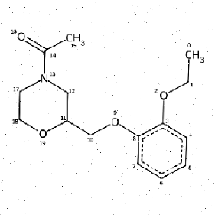 CCOc1ccccc1OCC1CN(C(C)=O)CCO1